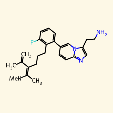 C=C(C)/C(CCCc1c(F)cccc1-c1ccc2ncc(CCN)n2c1)=C(/C)NC